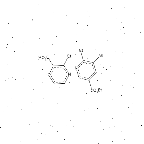 CCOC(=O)c1cnc(CC)c(Br)c1.CCc1ncccc1C(=O)O